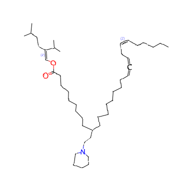 CCCCC/C=C\CC=C=CCCCCCCCCC(CCCCCCCCC(=O)O/C=C(/CCC(C)C)C(C)C)CCN1CCCCC1